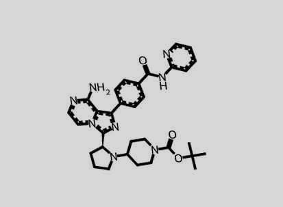 CC(C)(C)OC(=O)N1CCC(N2CCC[C@H]2c2nc(-c3ccc(C(=O)Nc4ccccn4)cc3)c3c(N)nccn23)CC1